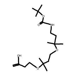 C=C(O)CCOC(C)(C)CCOC(C)(C)CCNC(=O)OC(C)(C)C